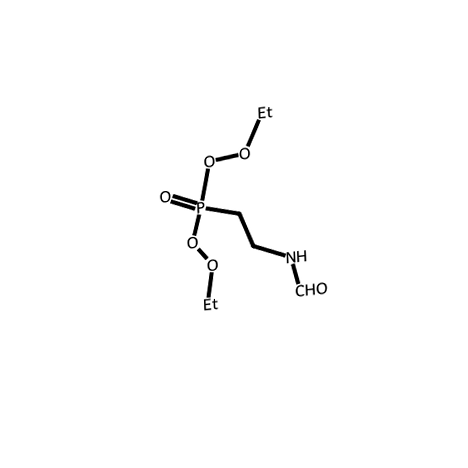 CCOOP(=O)(CCNC=O)OOCC